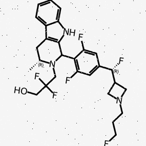 C[C@@H]1Cc2c([nH]c3ccccc23)C(c2c(F)cc([C@H](F)C3CN(CCCF)C3)cc2F)N1CC(F)(F)CO